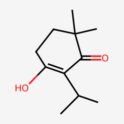 CC(C)C1=C(O)CCC(C)(C)C1=O